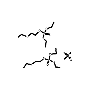 CCOP(=O)(OCC)SCCSCC.CCOP(=S)(OCC)OCCSCC.CS(C)(=O)=O